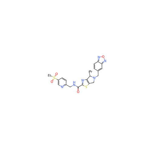 CCS(=O)(=O)c1ccc(CNC(=O)c2nc3c(s2)CN(Cc2ccc4nonc4c2)C3C(C)C)nc1